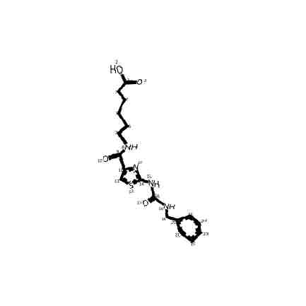 O=C(O)CCCCCNC(=O)c1csc(NC(=O)NCc2ccccc2)n1